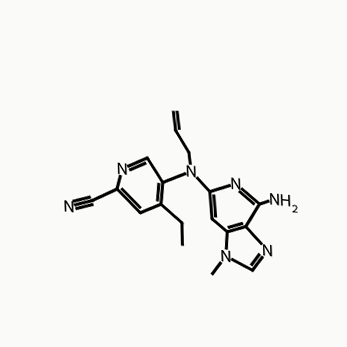 C=CCN(c1cc2c(ncn2C)c(N)n1)c1cnc(C#N)cc1CC